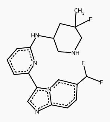 CC1(F)CNCC(Nc2cccc(-c3cnc4ccc(C(F)F)cn34)n2)C1